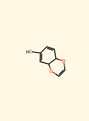 N#CC1=CC2OC=COC2C=C1